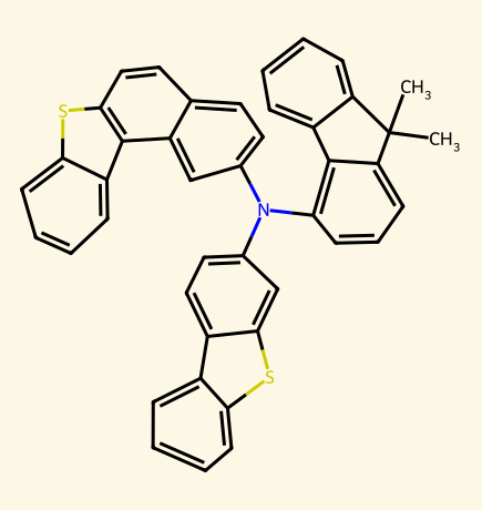 CC1(C)c2ccccc2-c2c(N(c3ccc4c(c3)sc3ccccc34)c3ccc4ccc5sc6ccccc6c5c4c3)cccc21